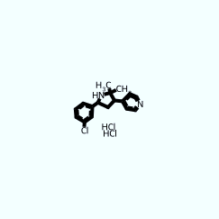 CC1(C)NC(c2cccc(Cl)c2)CC1c1ccncc1.Cl.Cl